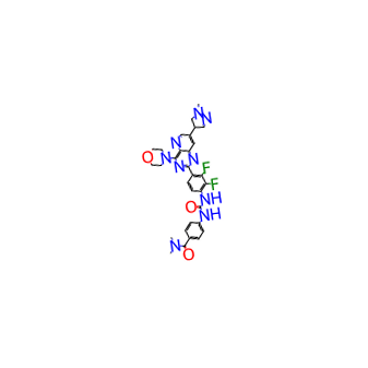 CN1CC(c2cnc3c(N4CCOCC4)nc(-c4ccc(NC(=O)Nc5ccc(C(=O)N(C)C)cc5)c(F)c4F)nc3c2)C=N1